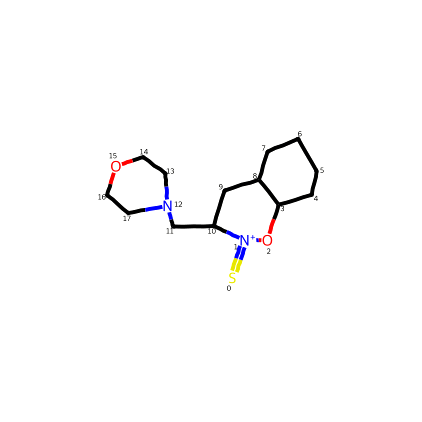 S=[N+]1OC2CCCCC2CC1CN1CCOCC1